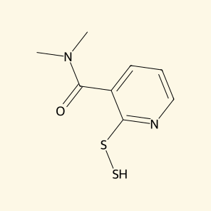 CN(C)C(=O)c1cccnc1SS